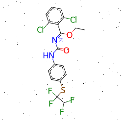 CCO/C(=N\C(=O)Nc1ccc(SC(F)(F)C(F)F)cc1)c1c(Cl)cccc1Cl